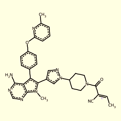 C/C=C(\C#N)C(=O)N1CCC(n2cc(-c3c(-c4ccc(Oc5cccc(C)n5)cc4)c4c(N)ncnc4n3C)cn2)CC1